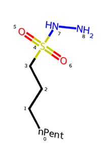 CCCCCCCCS(=O)(=O)NN